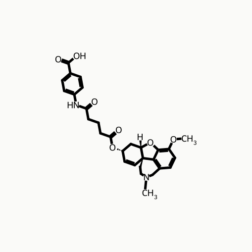 COc1ccc2c3c1O[C@H]1C[C@@H](OC(=O)CCCC(=O)Nc4ccc(C(=O)O)cc4)C=C[C@@]31CCN(C)C2